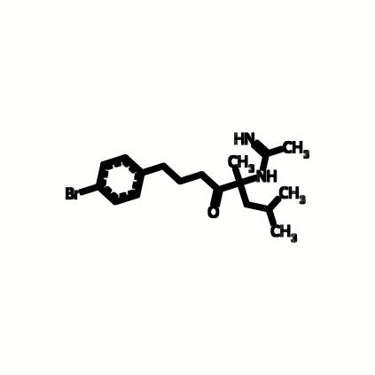 CC(=N)NC(C)(CC(C)C)C(=O)CCCc1ccc(Br)cc1